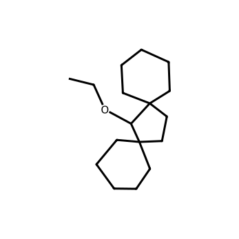 CCOC1C2(CCCCC2)CCC12CCCCC2